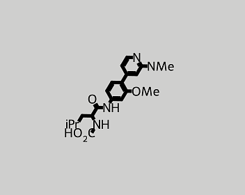 CNc1cc(-c2ccc(NC(=O)C(CC(C)C)NC(=O)O)cc2OC)ccn1